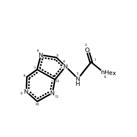 CCCCCCC(=O)Nn1cnc2cncnc21